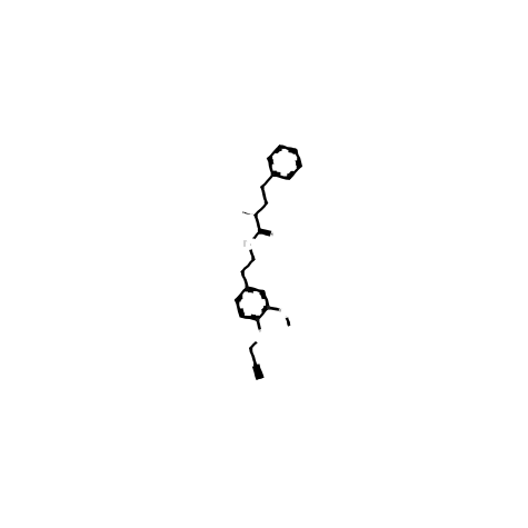 C#CCOc1ccc(CCNC(=O)[C@@H](O)CCc2ccccc2)cc1OC